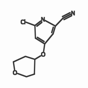 N#Cc1cc(OC2CCOCC2)cc(Cl)n1